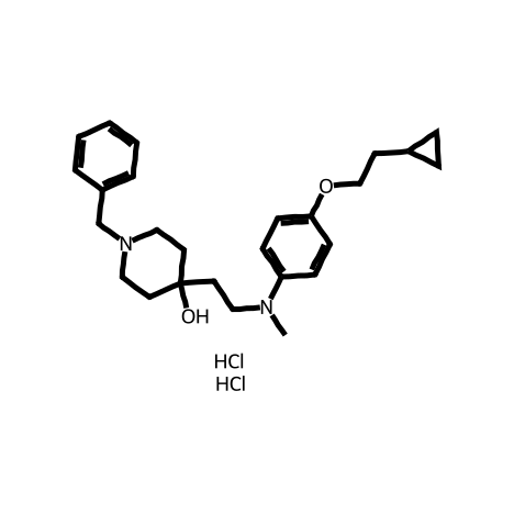 CN(CCC1(O)CCN(Cc2ccccc2)CC1)c1ccc(OCCC2CC2)cc1.Cl.Cl